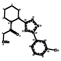 COCC(=O)N1CCCCC1c1nnn(-c2cccc(Cl)c2)n1